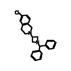 Clc1ccc2c(c1)CCN(C1CN(C(c3ccccc3)c3ccccc3)C1)C2